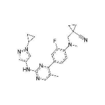 Cc1cnc(Nc2cnn(C3CC3)c2)nc1-c1ccc(N(C)CC2(C#N)CC2)c(F)c1